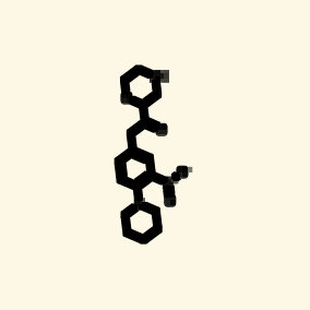 O=C(Cc1ccc(N2CCCCC2)c([N+](=O)[O-])c1)C1CNCCO1